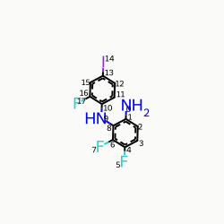 Nc1ccc(F)c(F)c1Nc1ccc(I)cc1F